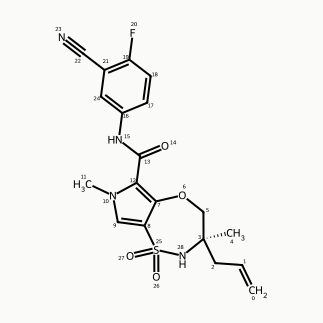 C=CC[C@]1(C)COc2c(cn(C)c2C(=O)Nc2ccc(F)c(C#N)c2)S(=O)(=O)N1